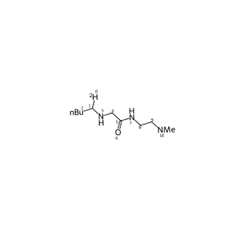 [2H]C(CCCC)NCC(=O)NCCNC